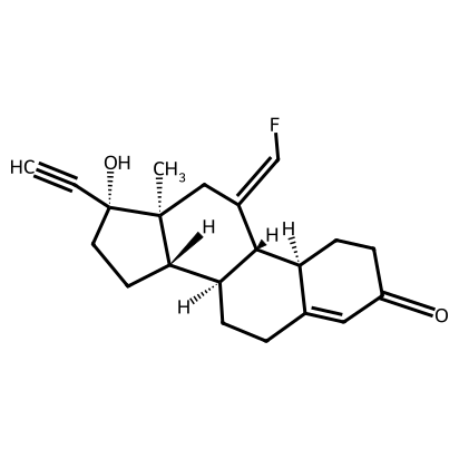 C#C[C@]1(O)CC[C@H]2[C@@H]3CCC4=CC(=O)CC[C@@H]4[C@H]3/C(=C/F)C[C@@]21C